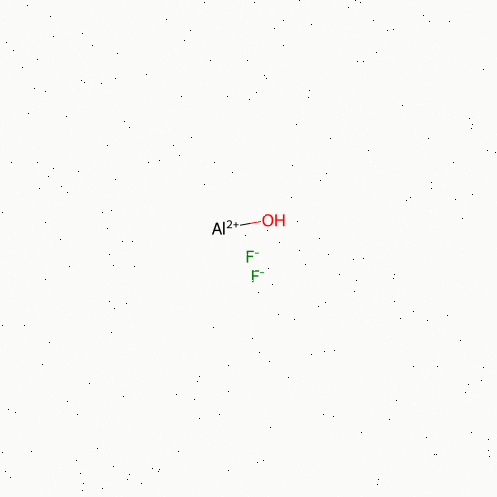 [F-].[F-].[OH][Al+2]